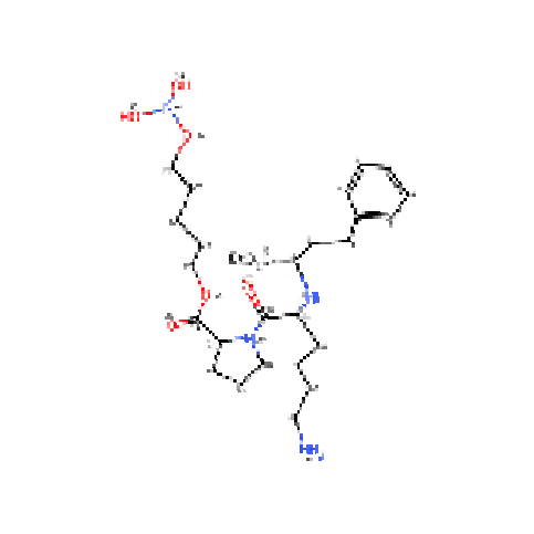 CCOC(=O)C(CCc1ccccc1)NC(CCCCN)C(=O)N1CCCC1C(=O)OCCCCCON(O)O